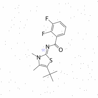 Cc1c(C(C)(C)C)s/c(=N\C(=O)c2cccc(F)c2F)n1C